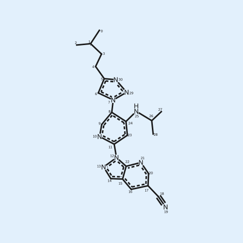 C[C](C)CCc1cn(-c2cnc(-n3ncc4cc(C#N)cnc43)cc2NC(C)C)nn1